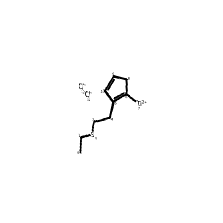 CCSCCC1=[C]([Ti+2])CC=C1.[Cl-].[Cl-]